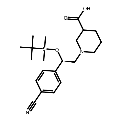 CC(C)(C)[Si](C)(C)O[C@@H](CN1CCCC(C(=O)O)C1)c1ccc(C#N)cc1